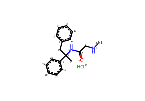 CCNCC(=O)NC(C)(Cc1ccccc1)c1ccccc1.Cl